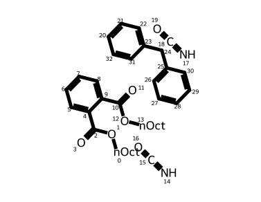 CCCCCCCCOC(=O)c1ccccc1C(=O)OCCCCCCCC.N=C=O.N=C=O.c1ccc(Cc2ccccc2)cc1